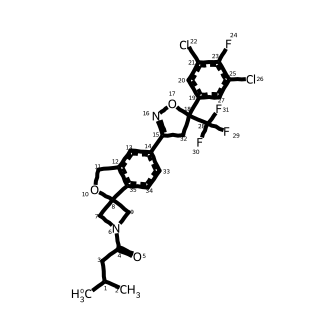 CC(C)CC(=O)N1CC2(C1)OCc1cc(C3=NOC(c4cc(Cl)c(F)c(Cl)c4)(C(F)(F)F)C3)ccc12